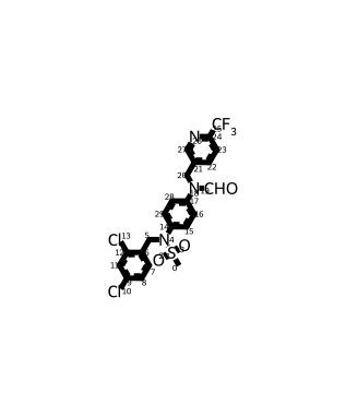 CS(=O)(=O)N(Cc1ccc(Cl)cc1Cl)c1ccc(N(C=O)Cc2ccc(C(F)(F)F)nc2)cc1